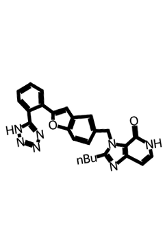 CCCCc1nc2cc[nH]c(=O)c2n1Cc1ccc2oc(-c3ccccc3-c3nnn[nH]3)cc2c1